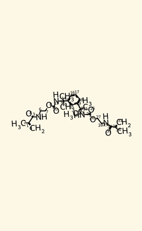 C=C(C)C(=O)NCCOC(=O)NC(C)(C)c1cccc(C(C)(C)NC(=O)OCCNC(=O)C(=C)C)c1